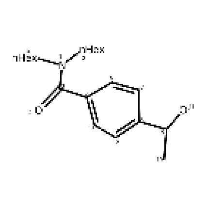 CCCCCCN(CCCCCC)C(=O)c1ccc(C(C)[O])cc1